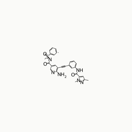 Cc1cc(C(=O)Nc2cccc(C#Cc3cc(C(=O)N=S(C)(=O)c4c[c]ccc4)cnc3N)c2)n(C)n1